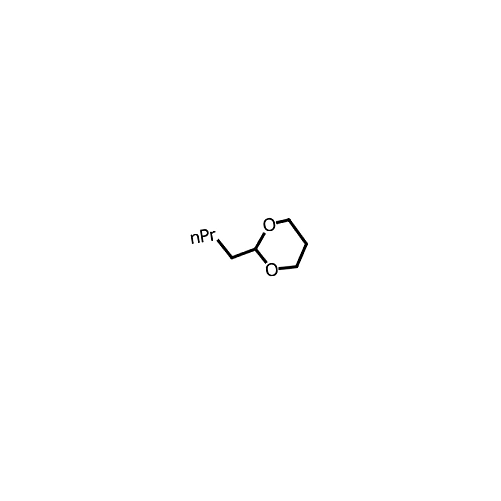 CCCCC1OCCCO1